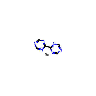 [Ru].c1ncnc(-c2ncncn2)n1